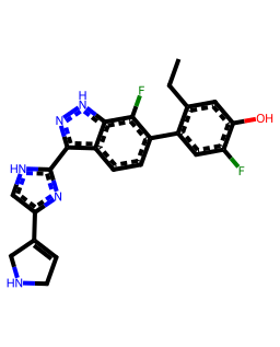 CCc1cc(O)c(F)cc1-c1ccc2c(-c3nc(C4=CCNC4)c[nH]3)n[nH]c2c1F